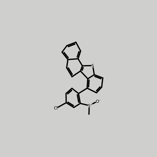 C[S+]([O-])c1cc(Cl)ccc1-c1cccc2sc3c4ccccc4ccc3c12